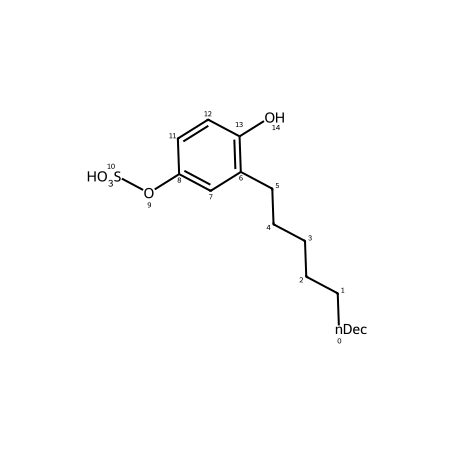 CCCCCCCCCCCCCCCc1cc(OS(=O)(=O)O)ccc1O